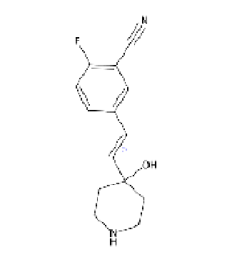 N#Cc1cc(/C=C/C2(O)CCNCC2)ccc1F